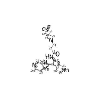 O=C(CCN1CC2(C1)CS(=O)(=O)C2)Nc1sc2c(c1-c1nc3cnccc3s1)CCNC2